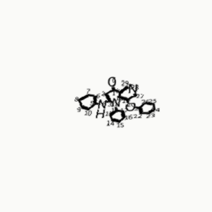 O=c1cc(Nc2ccccc2)n(-c2ccccc2)c2c(Oc3ccccc3)cncc12